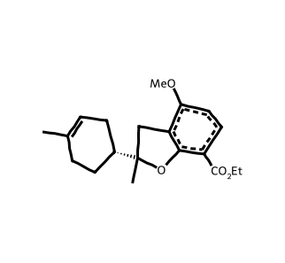 CCOC(=O)c1ccc(OC)c2c1OC(C)([C@H]1CC=C(C)CC1)C2